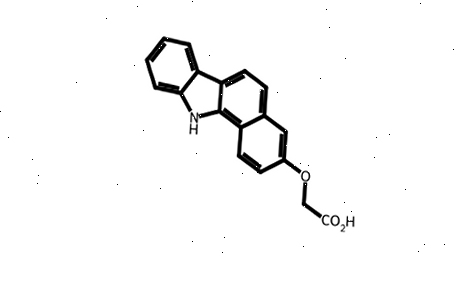 O=C(O)COc1ccc2c(ccc3c4ccccc4[nH]c23)c1